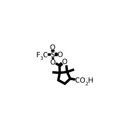 CC1(C(=O)OS(=O)(=O)C(F)(F)F)CCC(C(=O)O)C1(C)C